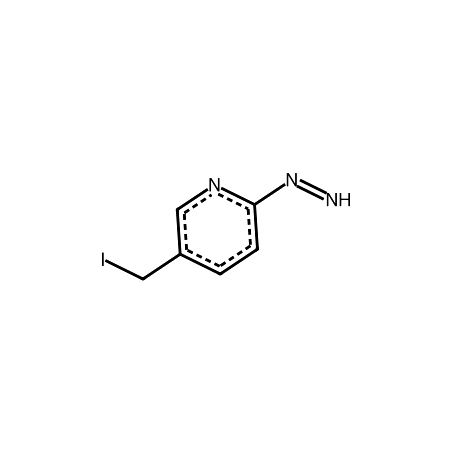 N=Nc1ccc(CI)cn1